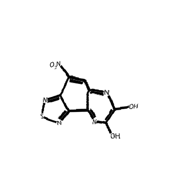 O=[N+]([O-])c1cc2nc(O)c(O)nc2c2nsnc12